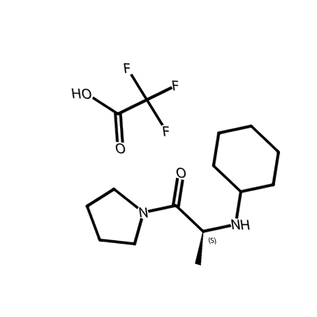 C[C@H](NC1CCCCC1)C(=O)N1CCCC1.O=C(O)C(F)(F)F